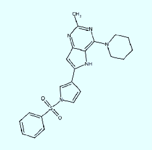 Cc1nc(N2CCCCC2)c2[nH]c(-c3ccn(S(=O)(=O)c4ccccc4)c3)cc2n1